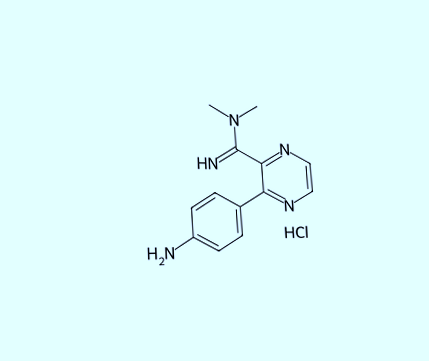 CN(C)C(=N)c1nccnc1-c1ccc(N)cc1.Cl